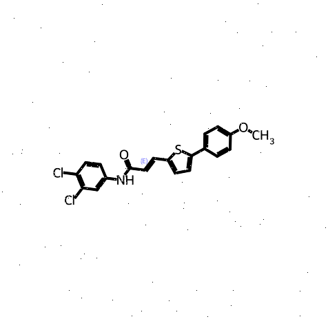 COc1ccc(-c2ccc(/C=C/C(=O)Nc3ccc(Cl)c(Cl)c3)s2)cc1